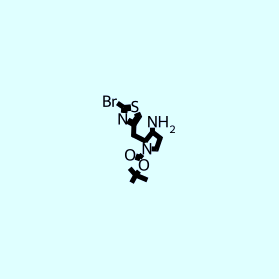 CC(C)(C)OC(=O)N1CCC(N)C1Cc1csc(Br)n1